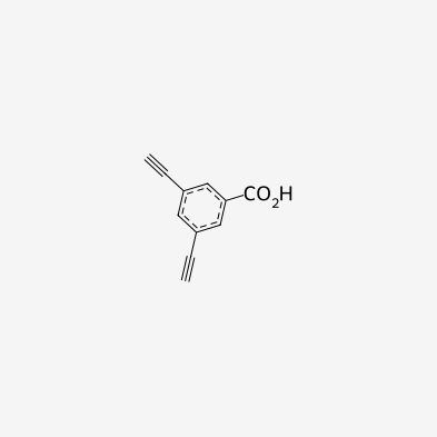 C#Cc1cc(C#C)cc(C(=O)O)c1